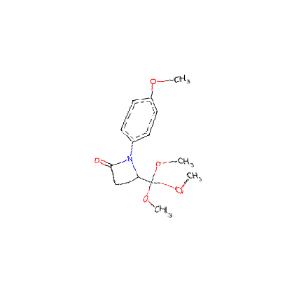 COc1ccc(N2C(=O)CC2C(OC)(OC)OC)cc1